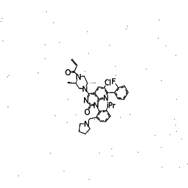 C=CC(=O)N1C[C@H](C)N(c2nc(=O)n(-c3c(CN4CCCC4)cccc3C(C)C)c3nc(-c4ccccc4F)c(Cl)cc23)C[C@H]1C